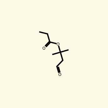 CCC(=O)OC(C)(C)CC=O